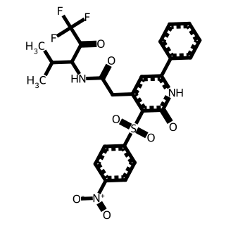 CC(C)C(NC(=O)Cc1cc(-c2ccccc2)[nH]c(=O)c1S(=O)(=O)c1ccc([N+](=O)[O-])cc1)C(=O)C(F)(F)F